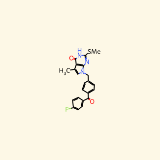 CSc1nc2c(c(C)cn2Cc2ccc(C(=O)c3ccc(F)cc3)cc2)c(=O)[nH]1